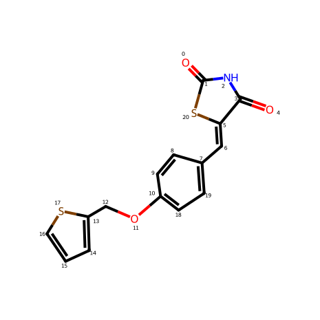 O=C1NC(=O)/C(=C/c2ccc(OCc3cccs3)cc2)S1